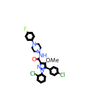 COc1c(C(=O)NN2CCN(c3ccc(F)cc3)CC2)nn(-c2ccccc2Cl)c1-c1ccc(Cl)cc1